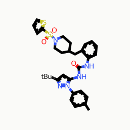 Cc1ccc(-n2nc(C(C)(C)C)cc2NC(=O)Nc2ccccc2CC2CCN(S(=O)(=O)c3cccs3)CC2)cc1